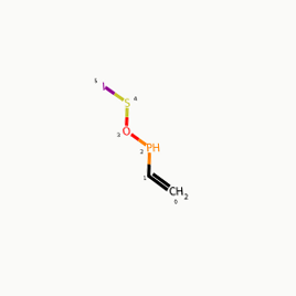 C=CPOSI